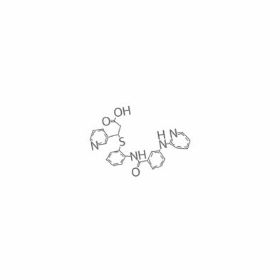 O=C(O)CC(Sc1ccccc1NC(=O)c1cccc(Nc2ccccn2)c1)c1cccnc1